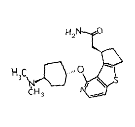 CN(C)[C@H]1CC[C@H](Oc2nccc3sc4c(c23)[C@@H](CC(N)=O)CC4)CC1